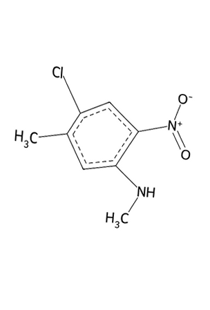 CNc1cc(C)c(Cl)cc1[N+](=O)[O-]